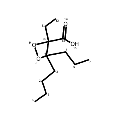 CCCCC1(CCC)OOC1(CC)C(=O)O